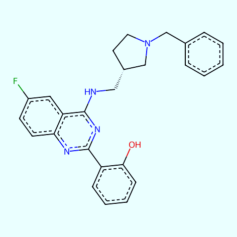 Oc1ccccc1-c1nc(NC[C@@H]2CCN(Cc3ccccc3)C2)c2cc(F)ccc2n1